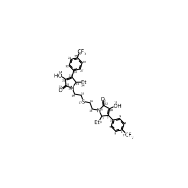 CCC1C(c2ccc(C(F)(F)F)cc2)=C(O)C(=O)N1CCSCCN1C(=O)C(O)=C(c2ccc(C(F)(F)F)cc2)C1CC